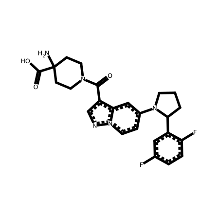 NC1(C(=O)O)CCN(C(=O)c2cnn3ccc(N4CCCC4c4cc(F)ccc4F)cc23)CC1